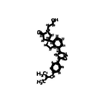 CC(C)Oc1ccc(-c2nc(-c3cccc4c3CC[C@]43CC(=O)N(CCO)C3)no2)cc1